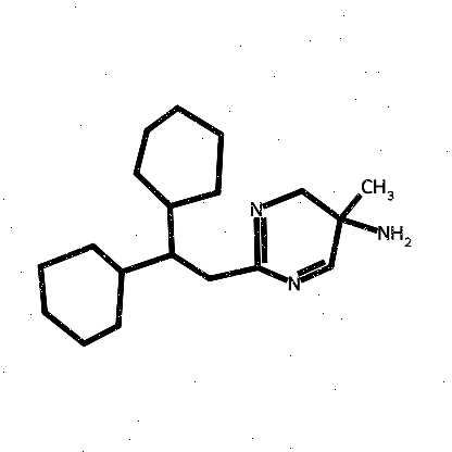 CC1(N)C=NC(CC(C2CCCCC2)C2CCCCC2)=NC1